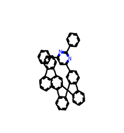 c1ccc(-c2cc(-c3ccc4c(c3)C3(c5ccccc5-4)c4ccccc4-c4c3cc3c5c(cccc45)-c4ccccc4-3)nc(-c3ccccc3)n2)cc1